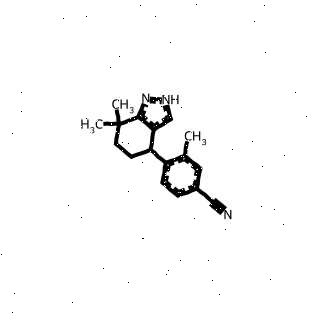 Cc1cc(C#N)ccc1C1CCC(C)(C)c2n[nH]cc21